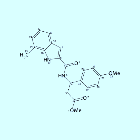 COC(=O)CC(NC(=O)c1cc2cccc(C)c2[nH]1)c1ccc(OC)cc1